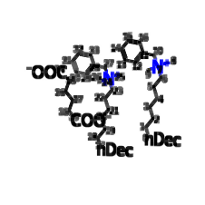 CCCCCCCCCCCCCCCC[N+](C)(C)Cc1ccccc1.CCCCCCCCCCCCCCCC[N+](C)(C)Cc1ccccc1.O=C([O-])CCCCC(=O)[O-]